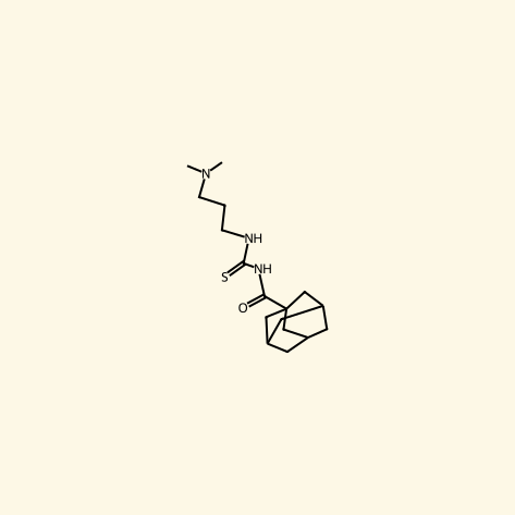 CN(C)CCCNC(=S)NC(=O)C12CC3CC(CC(C3)C1)C2